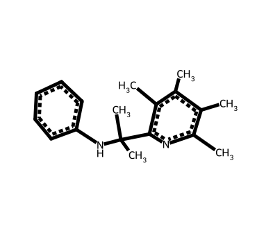 Cc1nc(C(C)(C)Nc2ccccc2)c(C)c(C)c1C